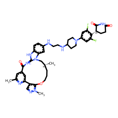 Cc1cc2cc(n1)-c1cnn(C)c1OCCC[C@@H](C)CN1/C(=N/C2=O)Nc2ccc(NCCNC3CCN(c4cc(F)c([C@H]5CCC(=O)NC5=O)c(F)c4)CC3)cc21